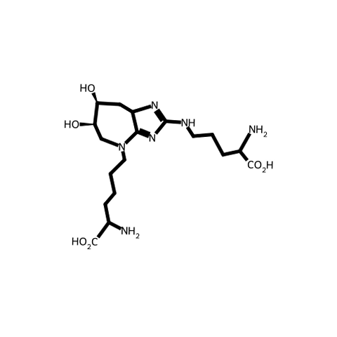 NC(CCCCN1C[C@@H](O)[C@@H](O)CC2N=C(NCCCC(N)C(=O)O)N=C21)C(=O)O